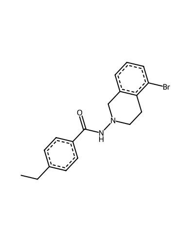 CCc1ccc(C(=O)NN2CCc3c(Br)cccc3C2)cc1